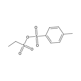 CCS(=O)(=O)OS(=O)(=O)c1ccc(C)cc1